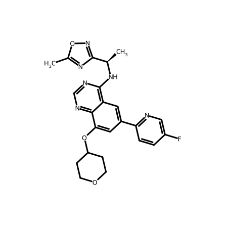 Cc1nc([C@@H](C)Nc2ncnc3c(OC4CCOCC4)cc(-c4ccc(F)cn4)cc23)no1